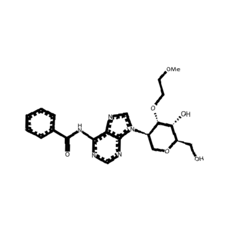 COCCO[C@@H]1[C@H](O)[C@@H](CO)OC[C@H]1n1cnc2c(NC(=O)c3ccccc3)ncnc21